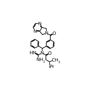 CC(C)[C@H](C)CC(=O)N(C(=N)N)C(c1ccccc1)c1cccc(C(=O)N2Cc3nccnc3C2)c1